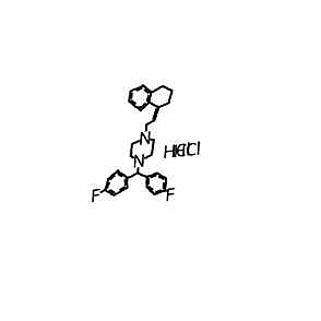 Cl.Cl.Fc1ccc(C(c2ccc(F)cc2)N2CCN(C/C=C3/CCCc4ccccc43)CC2)cc1